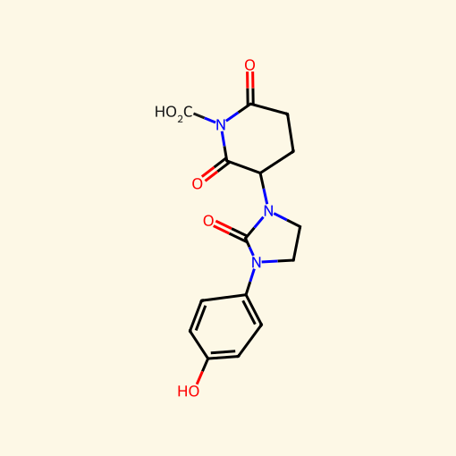 O=C(O)N1C(=O)CCC(N2CCN(c3ccc(O)cc3)C2=O)C1=O